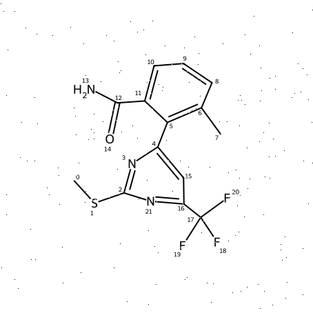 CSc1nc(-c2c(C)cccc2C(N)=O)cc(C(F)(F)F)n1